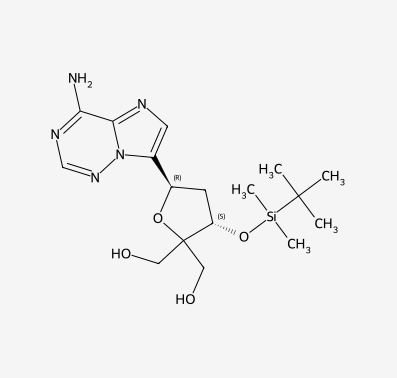 CC(C)(C)[Si](C)(C)O[C@H]1C[C@H](c2cnc3c(N)ncnn23)OC1(CO)CO